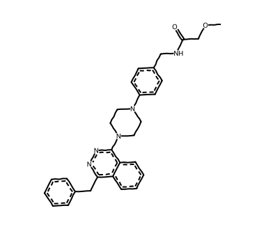 COCC(=O)NCc1ccc(N2CCN(c3nnc(Cc4ccccc4)c4ccccc34)CC2)cc1